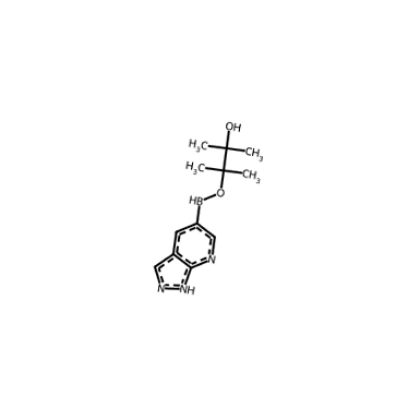 CC(C)(O)C(C)(C)OBc1cnc2[nH]ncc2c1